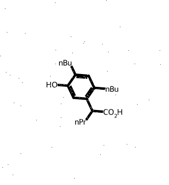 CCCCc1cc(CCCC)c(C(CCC)C(=O)O)cc1O